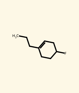 CCCC1=CCC(F)CC1